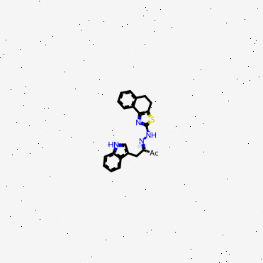 CC(=O)/C(Cc1c[nH]c2ccccc12)=N\Nc1nc2c(s1)CCc1ccccc1-2